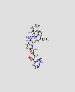 Cc1ccc(C(NC(=O)Cc2ccc3oc(CC(O)c4ccncn4)cc3n2)c2ccccc2)c(C)c1